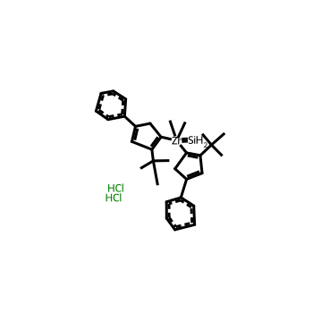 CC(C)(C)C1=[C]([Zr]([CH3])([CH3])(=[SiH2])[C]2=C(C(C)(C)C)C=C(c3ccccc3)C2)CC(c2ccccc2)=C1.Cl.Cl